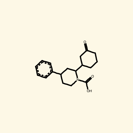 O=C1CCCC(C2CC(c3ccccc3)CCN2C(=O)O)C1